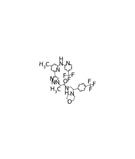 Cc1cc(Nc2cc(C(F)(F)F)ccn2)nc(-c2cn(C(C)C(=O)NCC(c3ccc(C(F)(F)F)cc3)N3CCOCC3)nn2)c1